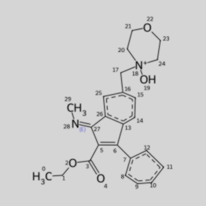 CCOC(=O)C1=C(c2ccccc2)c2ccc(C[N+]3(O)CCOCC3)cc2/C1=N\C